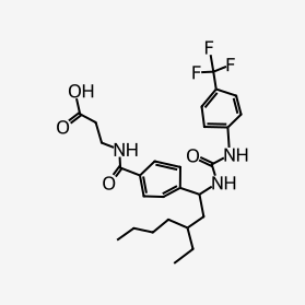 CCCCC(CC)CC(NC(=O)Nc1ccc(C(F)(F)F)cc1)c1ccc(C(=O)NCCC(=O)O)cc1